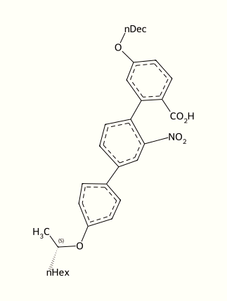 CCCCCCCCCCOc1ccc(C(=O)O)c(-c2ccc(-c3ccc(O[C@@H](C)CCCCCC)cc3)cc2[N+](=O)[O-])c1